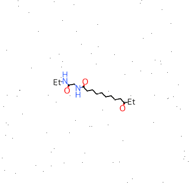 CCNC(=O)CNC(=O)CCCCCCCCC(=O)CC